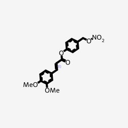 COc1ccc(/C=C/C(=O)Oc2ccc(CO[N+](=O)[O-])cc2)cc1OC